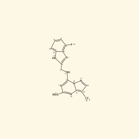 CSc1nc(NCc2nc3c(F)cccc3[nH]2)n2ncc(C(F)(F)F)c2n1